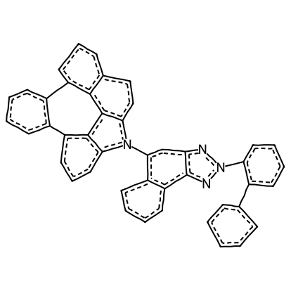 c1ccc(-c2ccccc2-n2nc3cc(-n4c5cccc6c5c5c7c(cccc7ccc54)-c4ccccc4-6)c4ccccc4c3n2)cc1